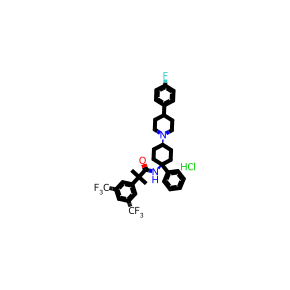 CC(C)(C(=O)N[C@]1(c2ccccc2)CC[C@@H](N2CCC(c3ccc(F)cc3)CC2)CC1)c1cc(C(F)(F)F)cc(C(F)(F)F)c1.Cl